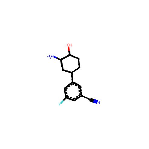 N#Cc1cc(F)cc(C2CCC(O)C(N)C2)c1